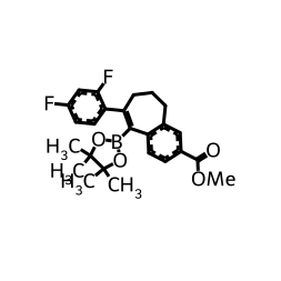 COC(=O)c1ccc2c(c1)CCCC(c1ccc(F)cc1F)=C2B1OC(C)(C)C(C)(C)O1